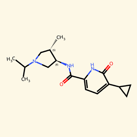 CC(C)N1C[C@H](NC(=O)c2ccc(C3CC3)c(=O)[nH]2)[C@@H](C)C1